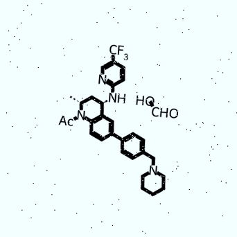 CC(=O)N1c2ccc(-c3ccc(CN4CCCCC4)cc3)cc2[C@@H](Nc2ccc(C(F)(F)F)cn2)C[C@H]1C.O=CO